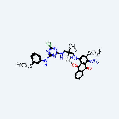 CC(C)(CNc1nc(Cl)nc(Nc2cccc(S(=O)(=O)O)c2)n1)CNc1cc(S(=O)(=O)O)c(N)c2c1C(=O)c1ccccc1C2=O